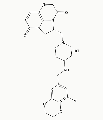 Cl.O=c1ccc2ncc(=O)n3c2n1C[C@H]3CN1CCC(NCc2cc(F)c3c(c2)OCCO3)CC1